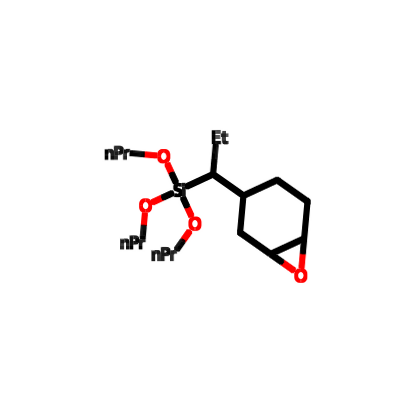 CCCO[Si](OCCC)(OCCC)C(CC)C1CCC2OC2C1